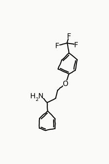 NC(CCOc1ccc(C(F)(F)F)cc1)c1ccccc1